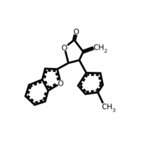 C=C1C(=O)OC(c2cc3ccccc3o2)C1c1ccc(C)cc1